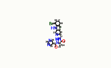 O=C(NC1(C(=O)NCc2ccc(Nc3c(F)cccc3Br)cn2)CC1)c1cncnc1